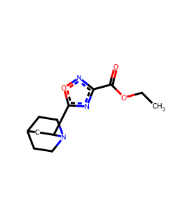 CCOC(=O)c1noc(C2CC3CCN2CC3)n1